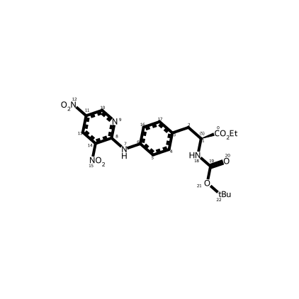 CCOC(=O)[C@H](Cc1ccc(Nc2ncc([N+](=O)[O-])cc2[N+](=O)[O-])cc1)NC(=O)OC(C)(C)C